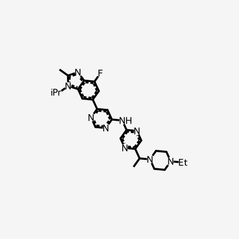 CCN1CCN(C(C)c2cnc(Nc3cc(-c4cc(F)c5nc(C)n(C(C)C)c5c4)ncn3)cn2)CC1